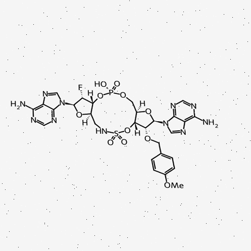 COc1ccc(CO[C@@H]2[C@@H]3OS(=O)(=O)NC[C@H]4O[C@@H](n5cnc6c(N)ncnc65)[C@H](F)[C@@H]4O[P@](=O)(O)OC[C@H]3O[C@H]2n2cnc3c(N)ncnc32)cc1